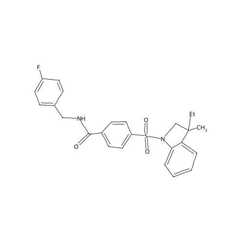 CCC1(C)CN(S(=O)(=O)c2ccc(C(=O)NCc3ccc(F)cc3)cc2)c2ccccc21